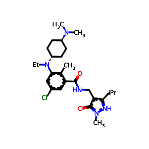 CCN(c1cc(Cl)cc(C(=O)NCc2c(C(C)C)[nH]n(C)c2=O)c1C)[C@H]1CC[C@H](N(C)C)CC1